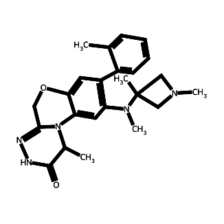 Cc1ccccc1-c1cc2c(cc1N(C)C1(C)CN(C)C1)N1C(=NNC(=O)C1C)CO2